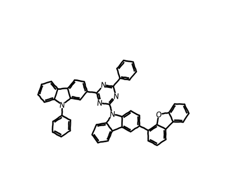 c1ccc(-c2nc(-c3ccc4c5ccccc5n(-c5ccccc5)c4c3)nc(-n3c4ccccc4c4cc(-c5cccc6c5oc5ccccc56)ccc43)n2)cc1